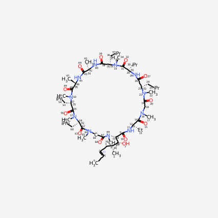 C/C=C/C[C@@H](C)[C@@H](O)[C@H]1C(=O)N[C@@H](CC)C(=O)N(C)CC(=O)N(C)[C@@H](CC(C)C)C(=O)N[C@@H](C(C)C)C(=O)N(C)[C@@H](CC(C)C)C(=O)N[C@@H](C)C(=O)N[C@H](C)C(=O)N(C)[C@@H](CC(C)C)C(=O)N(C)[C@@H](CC(C)C)C(=O)N(C)CC(=O)N1C